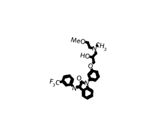 COCCN(C)CC(O)COc1cccc(N2C(=O)C(=Nc3cccc(C(F)(F)F)c3)c3ccccc32)c1